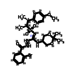 COc1cnc([C@@H](C)[C@H](C)S(=O)(=O)/N=C(\NNC(=O)c2ccccc2Br)NC2COC(C)(C)OC2)nc1